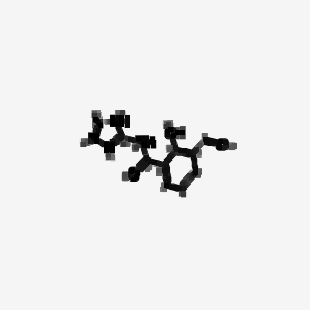 O=Cc1cccc(C(=O)Nc2nnn[nH]2)c1O